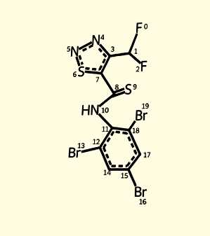 FC(F)c1nnsc1C(=S)Nc1c(Br)cc(Br)cc1Br